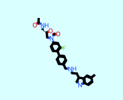 CC(=O)NC[C@H]1CN(c2ccc(-c3ccc(CNCCC4C=Nc5ccc(C)cc54)cc3)c(F)c2)C(=O)O1